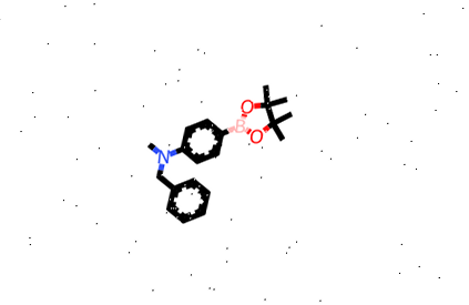 CN(Cc1ccccc1)c1ccc(B2OC(C)(C)C(C)(C)O2)cc1